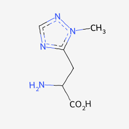 Cn1ncnc1CC(N)C(=O)O